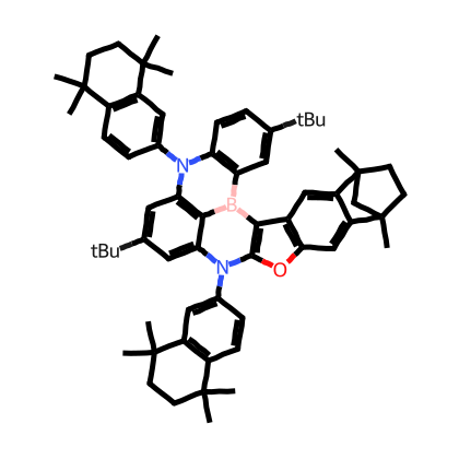 CC(C)(C)c1ccc2c(c1)B1c3c(cc(C(C)(C)C)cc3N(c3ccc4c(c3)C(C)(C)CCC4(C)C)c3oc4cc5c(cc4c31)C1(C)CCC5(C)C1)N2c1ccc2c(c1)C(C)(C)CCC2(C)C